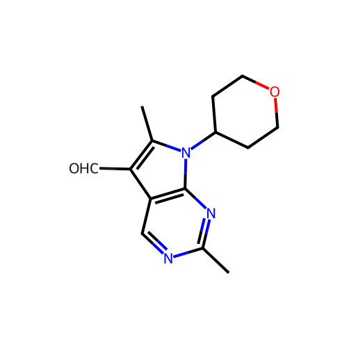 Cc1ncc2c(C=O)c(C)n(C3CCOCC3)c2n1